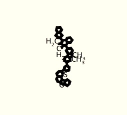 C=Cc1c(C=C)c(-c2ccc3ccccc3c2)c2c(c1-c1ccc3c(c1)-c1ccc(-c4ccc5sc6c(ccc7ccc8oc9ccccc9c8c76)c5c4)cc1C3(C)C)=CCCC=2